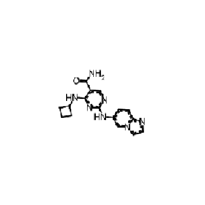 NC(=O)c1cnc(Nc2ccc3nccn3c2)nc1NC1CCC1